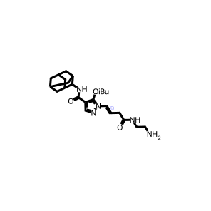 CC(C)COc1c(C(=O)NC2C3CC4CC(C3)CC2C4)cnn1/C=C/CC(=O)NCCN